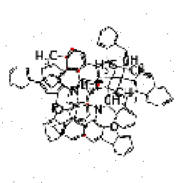 Cc1ccccc1-c1cc(-c2ccccc2)cc(F)c1N(c1cc2c(c3ccccc13)-c1c(ccc3ccccc13)C2(C(C)(C)C)C1(C(C)(C)C)c2ccc3ccccc3c2-c2c1cc(N(c1c(F)cc(-c3ccccc3)cc1-c1cccc3c1C3)c1cccc3c1oc1ccccc13)c1ccccc21)c1cccc2c1oc1ccccc12